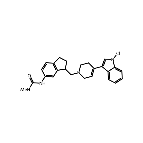 CNC(=O)Nc1ccc2c(c1)C(CN1CC=C(c3cn(Cl)c4ccccc34)CC1)CC2